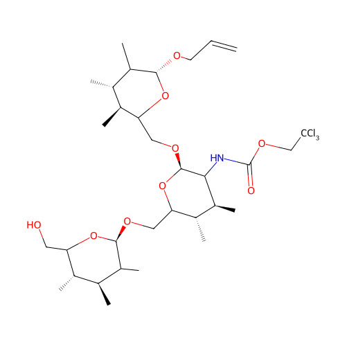 C=CCO[C@@H]1OC(CO[C@@H]2OC(CO[C@@H]3OC(CO)[C@@H](C)[C@H](C)C3C)[C@@H](C)[C@H](C)C2NC(=O)OCC(Cl)(Cl)Cl)[C@@H](C)[C@H](C)C1C